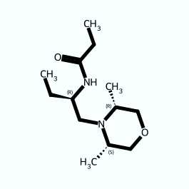 CCC(=O)N[C@H](CC)CN1[C@H](C)COC[C@@H]1C